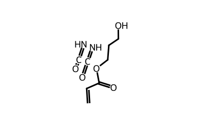 C=CC(=O)OCCCO.N=C=O.N=C=O